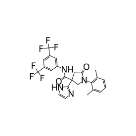 Cc1cccc(C)c1N1CC(C(=O)Nc2cc(C(F)(F)F)cc(C(F)(F)F)c2)(c2ncc[nH]2)CC1=O